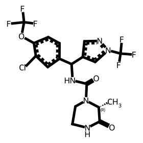 C[C@@H]1C(=O)NCCN1C(=O)NC(c1ccc(OC(F)(F)F)c(Cl)c1)c1cnn(C(F)(F)F)c1